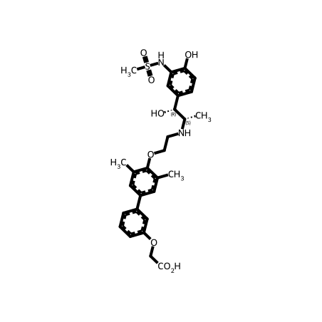 Cc1cc(-c2cccc(OCC(=O)O)c2)cc(C)c1OCCN[C@@H](C)[C@H](O)c1ccc(O)c(NS(C)(=O)=O)c1